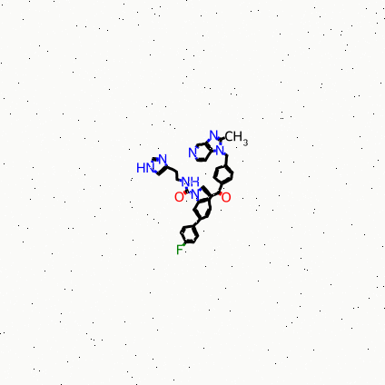 Cc1nc2cnccc2n1Cc1ccc(C(=O)c2cn(C(=O)NCCc3c[nH]cn3)c3cc(-c4ccc(F)cc4)ccc23)cc1